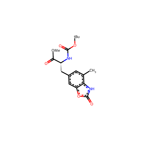 COC(=O)[C@@H](Cc1cc(C)c2[nH]c(=O)oc2c1)NC(=O)OC(C)(C)C